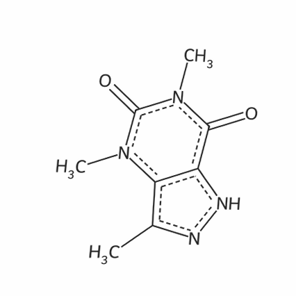 Cc1n[nH]c2c(=O)n(C)c(=O)n(C)c12